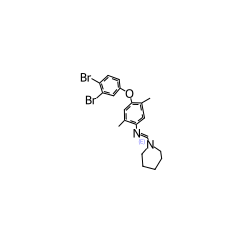 Cc1cc(Oc2ccc(Br)c(Br)c2)c(C)cc1/N=C/N1CCCCC1